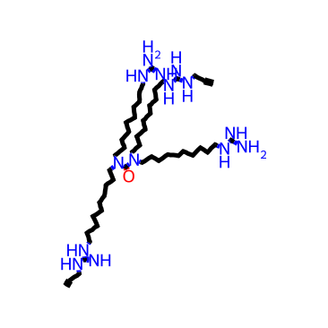 C#CCNC(=N)NCCCCCCCCCCN(CCCCCCCCCCNC(=N)N)C(=O)N(CCCCCCCCCCNC(=N)N)CCCCCCCCCCNC(=N)NCC#C